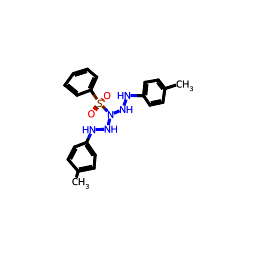 Cc1ccc(NNN(NNc2ccc(C)cc2)S(=O)(=O)c2ccccc2)cc1